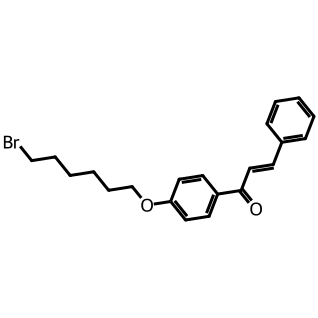 O=C(C=Cc1ccccc1)c1ccc(OCCCCCCBr)cc1